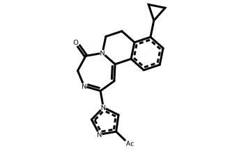 CC(=O)c1cn(C2=NCC(=O)N3CCc4c(cccc4C4CC4)C3=C2)cn1